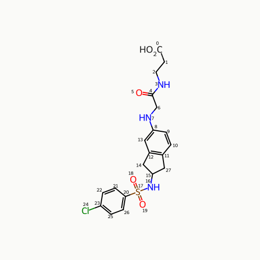 O=C(O)CCNC(=O)CNc1ccc2c(c1)CC(NS(=O)(=O)c1ccc(Cl)cc1)C2